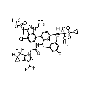 CC(C)(C#Cc1ccc(-c2ccc(Cl)c3c(NS(C)(=O)=O)nn(CC(F)(F)F)c23)c([C@H](Cc2cc(F)cc(F)c2)NC(=O)Cn2nc(C(F)F)c3c2C(F)(F)[C@@H]2CC32)n1)S(=O)(=O)C1CC1